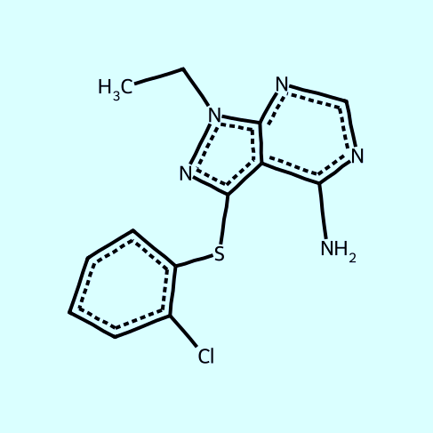 CCn1nc(Sc2ccccc2Cl)c2c(N)ncnc21